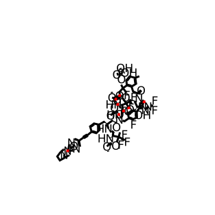 COC(=O)N[C@H](C(=O)N[C@@H](Cc1ccc(C#Cc2cnc(N3CC4CCC(C3)N4C3COC3)nc2)cc1)[C@H](CN(Cc1c(F)cc(-c2ccn(C(F)F)n2)cc1F)NC(=O)[C@@H](NC(=O)OC)C(C)(C)C(F)(F)F)OC(=O)OCOC(=O)CC(C)(C)c1c(CC(=O)N2CC[C@H](C(=O)O)C2)cc(C)cc1OP(=O)(O)O)C(C)(C)C(F)(F)F